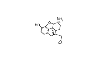 N[C@@H]1CCC2C3Cc4ccc(O)c5c4C2(CCN3CC2CC2)C1O5